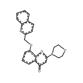 O=c1cc(N2CCOCC2)oc2c(OCc3ccc4ccccc4n3)cccc12